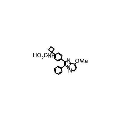 COc1ccnn2c(-c3ccccc3)c(-c3ccc(C4(NC(=O)O)CCC4)cc3)nc12